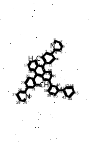 Cc1cc(-c2ccccn2)ccc1-c1c2ccccc2c(-c2ccc(-c3ccccn3)cc2C)c2cc(-c3cccc(-c4ccccc4)c3)ccc12